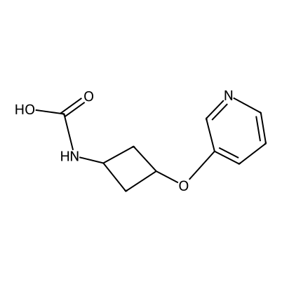 O=C(O)NC1CC(Oc2cccnc2)C1